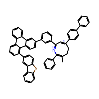 C/C1=C(c2ccccc2)/N=C(c2cccc(-c3ccc4c(c3)c3ccccc3c3cccc(-c5ccc6sc7ccccc7c6c5)c34)c2)\C=C(\c2ccc(-c3ccccc3)cc2)CC1